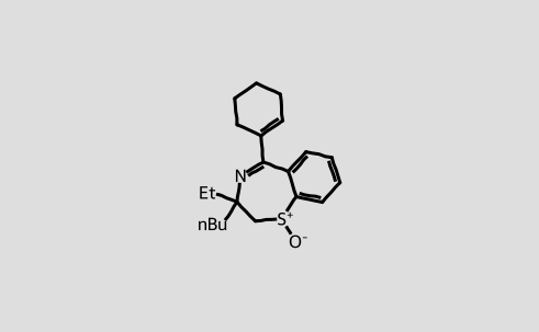 CCCCC1(CC)C[S+]([O-])c2ccccc2C(C2=CCCCC2)=N1